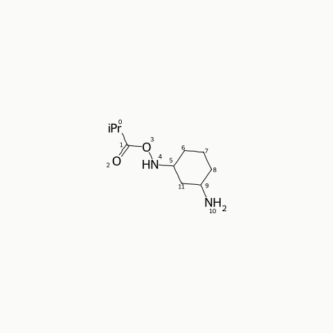 CC(C)C(=O)ONC1CCCC(N)C1